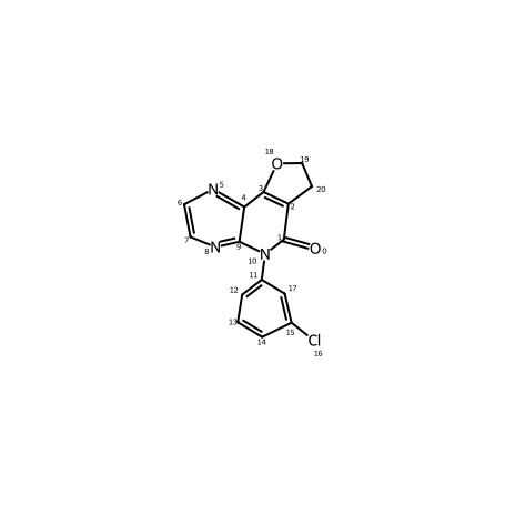 O=c1c2c(c3nccnc3n1-c1cccc(Cl)c1)OCC2